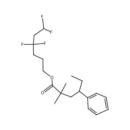 CCC(CC(C)(C)C(=O)OCCCC(F)(F)CC(F)F)c1ccccc1